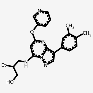 CCC(CO)CNc1cc(Oc2cccnc2)nc2c(-c3ccc(C)c(C)c3)cnn12